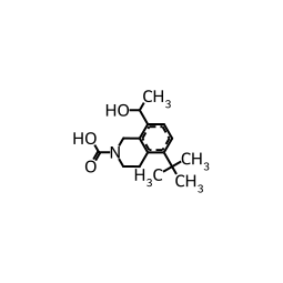 CC(O)c1ccc(C(C)(C)C)c2c1CN(C(=O)O)CC2